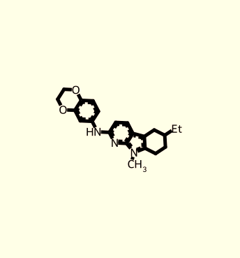 CCC1CCc2c(c3ccc(Nc4ccc5c(c4)OCCO5)nc3n2C)C1